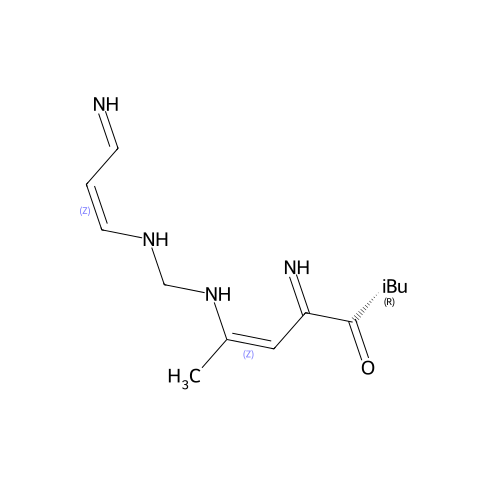 CC[C@@H](C)C(=O)C(=N)/C=C(/C)NCN/C=C\C=N